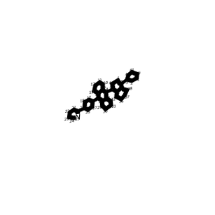 c1ccc(-c2ccc(-c3c4ccccc4c(-c4ccc(-c5ccccn5)cc4)c4ccccc34)c3ccccc23)cc1